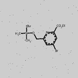 CCOC(=O)c1cc(Br)cc(CO[Si](C)(C)C(C)(C)C)n1